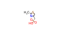 Cc1nc(CS(=O)(=O)O)cs1